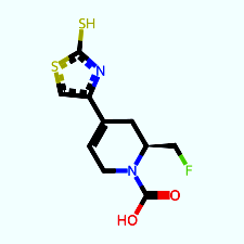 O=C(O)N1CC=C(c2csc(S)n2)C[C@H]1CF